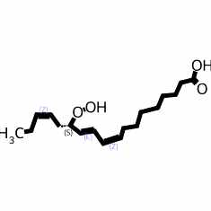 CC/C=C\C[C@@H](/C=C/C=C\CCCCCCCC(=O)O)OO